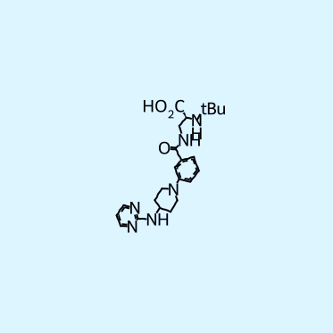 CC(C)(C)N[C@@H](CNC(=O)c1cccc(N2CCC(Nc3ncccn3)CC2)c1)C(=O)O